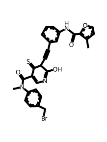 Cc1ccoc1C(=O)Nc1cccc(C#CC2C(=S)C(C(=O)N(C)c3ccc(CBr)cc3)=CN=C2O)c1